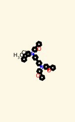 CC1(C)c2ccccc2-c2cc(N(c3ccc(C4=CC=C(N(c5ccc6c(c5)oc5ccccc56)c5ccc6oc7ccccc7c6c5)CC4)cc3)c3ccc4c(c3)oc3ccccc34)ccc21